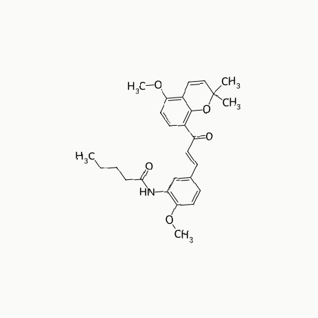 CCCCC(=O)Nc1cc(C=CC(=O)c2ccc(OC)c3c2OC(C)(C)C=C3)ccc1OC